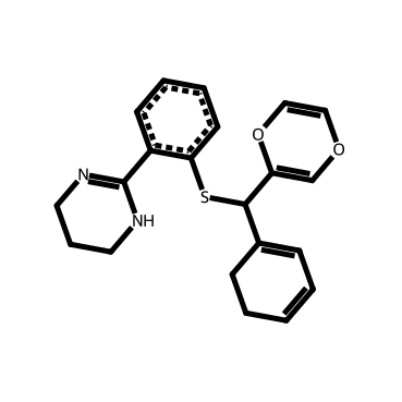 C1=CCCC(C(Sc2ccccc2C2=NCCCN2)C2=COC=CO2)=C1